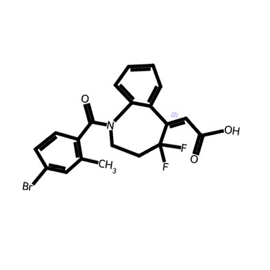 Cc1cc(Br)ccc1C(=O)N1CCC(F)(F)/C(=C\C(=O)O)c2ccccc21